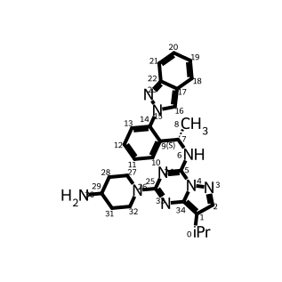 CC(C)c1cnn2c(N[C@@H](C)c3ccccc3-n3cc4ccccc4n3)nc(N3CCC(N)CC3)nc12